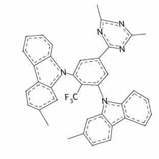 Cc1ccc2c3ccccc3n(-c3cc(-c4nc(C)nc(C)n4)cc(-n4c5ccccc5c5ccc(C)cc54)c3C(F)(F)F)c2c1